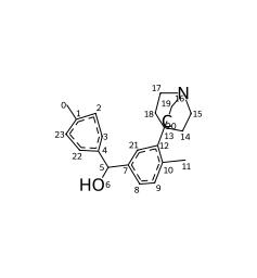 Cc1ccc(C(O)c2ccc(C)c(C34CCN(CC3)CC4)c2)cc1